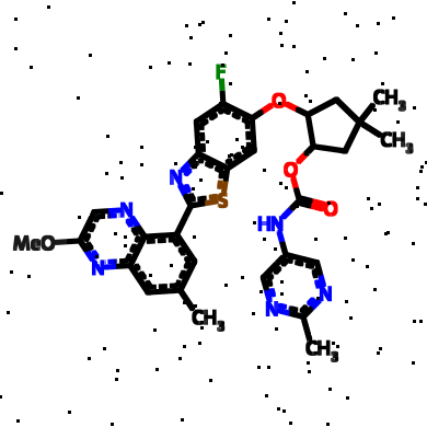 COc1cnc2c(-c3nc4cc(F)c(OC5CC(C)(C)CC5OC(=O)Nc5cnc(C)nc5)cc4s3)cc(C)cc2n1